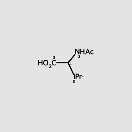 C[C](C)C(NC(C)=O)C(=O)O